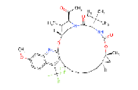 COc1ccc2c(C(F)(F)F)c3c(nc2c1)O[C@H]1CN(C(=O)[C@H](C(C)(C)C)NC(=O)O[C@]2(C)C[C@H]2CCCCC3(F)F)[C@H](C(C)=O)C1C